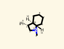 CC(C)[C@H]1CN(C)[C@H]2CCCC[C@H]12